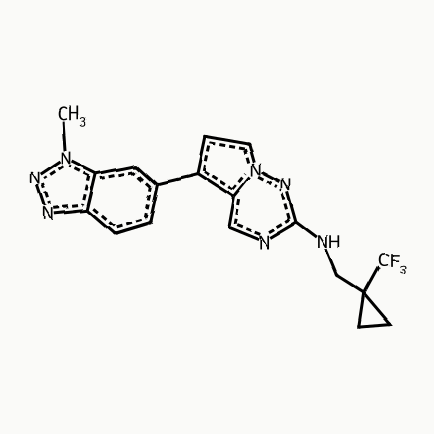 Cn1nnc2ccc(-c3ccn4nc(NCC5(C(F)(F)F)CC5)ncc34)cc21